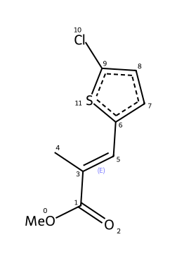 COC(=O)/C(C)=C/c1ccc(Cl)s1